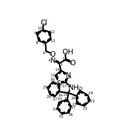 O=C(O)C(=NOCc1ccc(Cl)cc1)c1csc(NC(c2ccccc2)(c2ccccc2)c2ccccc2)n1